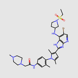 CCS(=O)(=O)N1CCC(Nc2c(Br)cnc3nc(-c4cc(C)n(-c5ccc(NC(=O)CN6CCN(C)CC6)cc5C)c4C)[nH]c23)C1